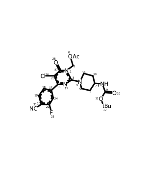 CC(=O)OCn1c(N2CCC(NC(=O)OC(C)(C)C)CC2)nc(-c2ccc(C#N)c(F)c2)c(Cl)c1=O